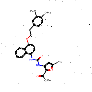 COC(=O)c1oc(C(C)(C)C)cc1NC(=O)Nc1ccc(OCCc2ccc(OC)c(OC)c2)c2ccccc12